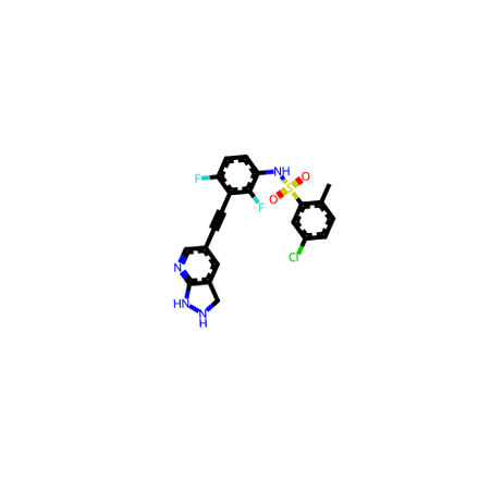 Cc1ccc(Cl)cc1S(=O)(=O)Nc1ccc(F)c(C#Cc2cnc3c(c2)CNN3)c1F